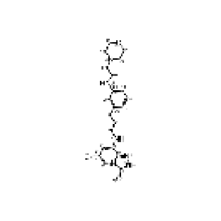 O=c1[nH]nc2c(NCCCc3cccc(NCCN4CCOCC4)c3)cc(Cl)cn12